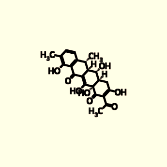 CC(=O)C1=C(O)C[C@@H]2[C@@H](O)[C@H]3C(=C(O)[C@]2(O)C1=O)C(=O)c1c(ccc(C)c1O)[C@@H]3C